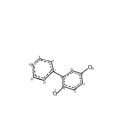 Clc1ccc(Cl)c(-c2ccncc2)c1